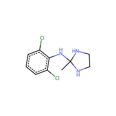 CC1(Nc2c(Cl)cccc2Cl)NCCN1